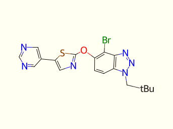 CC(C)(C)Cn1nnc2c(Br)c(Oc3ncc(-c4cncnc4)s3)ccc21